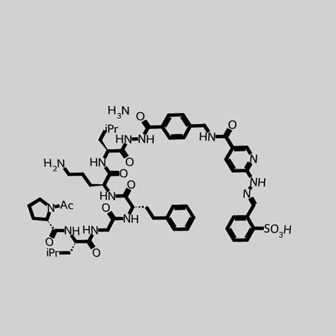 CC(=O)N1CCC[C@H]1C(=O)N[C@@H](CC(C)C)C(=O)NCC(=O)N[C@@H](CCc1ccccc1)C(=O)N[C@@H](CCCN)C(=O)N[C@@H](CC(C)C)C(=O)NNC(=O)c1ccc(CNC(=O)c2ccc(N/N=C/c3ccccc3S(=O)(=O)O)nc2)cc1.N